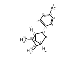 CC(=O)c1ccc([C@@H]2C[C@@H]3C[C@H]2C(C)C3C)cc1